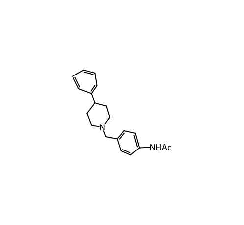 CC(=O)Nc1ccc(CN2CCC(c3ccccc3)CC2)cc1